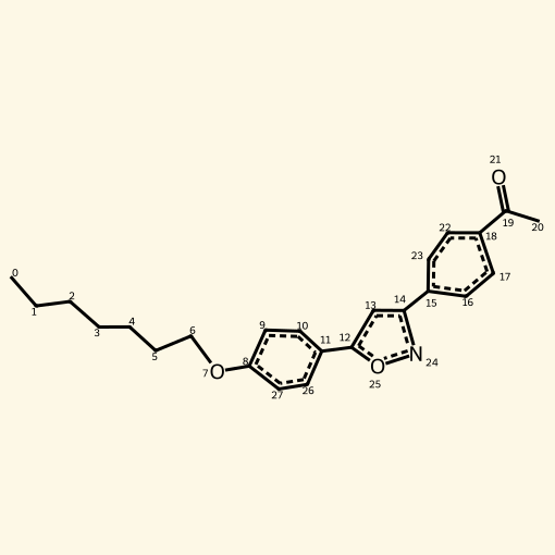 CCCCCCCOc1ccc(-c2cc(-c3ccc(C(C)=O)cc3)no2)cc1